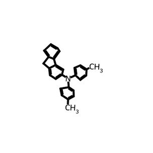 Cc1ccc(N(c2ccc(C)cc2)c2ccc3c(c2)-c2ccccc2C3)cc1